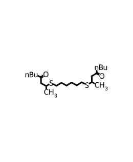 CCCCC(=O)CC(C)SCCCCCCSC(C)CC(=O)CCCC